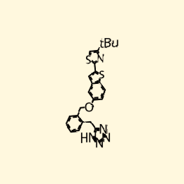 CC(C)(C)c1csc(-c2cc3cc(OCc4ccccc4Cc4nnn[nH]4)ccc3s2)n1